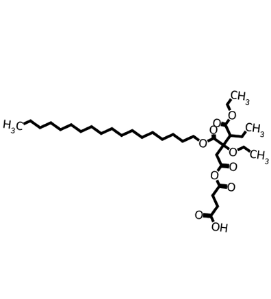 CCCCCCCCCCCCCCCCCCOC(=O)C(CC(=O)OC(=O)CCC(=O)O)(OCC)C(CC)C(=O)OCC